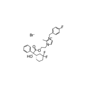 Cc1n(CCOC(=O)[C@](O)(c2ccccc2)[C@H]2CCCC(F)(F)C2)cc[n+]1Cc1ccc(F)cc1.[Br-]